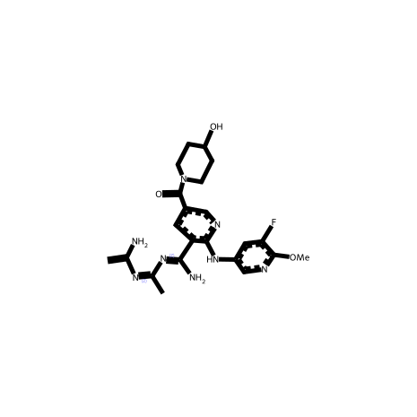 C=C(N)/N=C(C)\N=C(/N)c1cc(C(=O)N2CCC(O)CC2)cnc1Nc1cnc(OC)c(F)c1